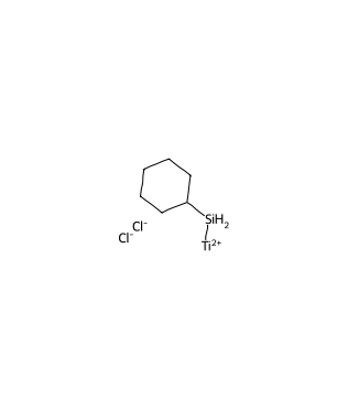 [Cl-].[Cl-].[Ti+2][SiH2]C1CCCCC1